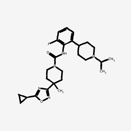 CC(C)N1CCC(c2cccc(F)c2NC(=O)N2CCC(C)(c3noc(C4CC4)n3)CC2)CC1